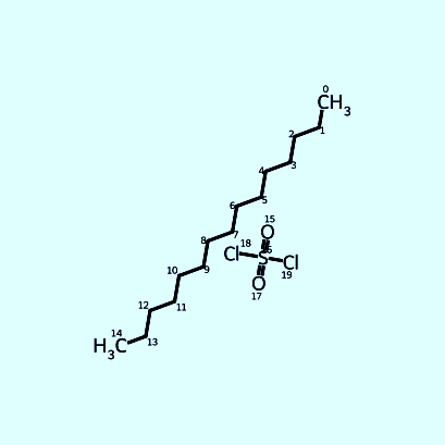 CCCCCCCCCCCCCCC.O=S(=O)(Cl)Cl